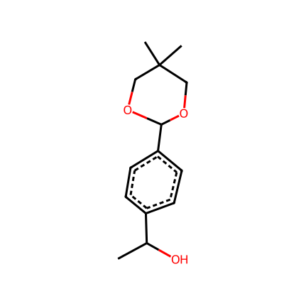 CC(O)c1ccc(C2OCC(C)(C)CO2)cc1